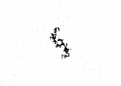 CC(C)OCC(F)(F)CN1CCC(O[C@H]2C[C@H](OC(C)C)C2)CC1